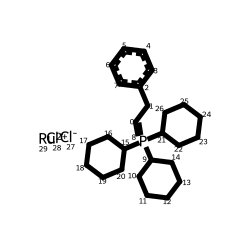 C(Cc1ccccc1)=P(C1CCCCC1)(C1CCCCC1)C1CCCCC1.[Cl-].[Cl-].[Ru+2]